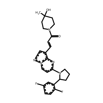 CC1(O)CCN(C(=O)C=Cc2cnn3ccc(N4CCCC4c4cc(F)ccc4F)nc23)CC1